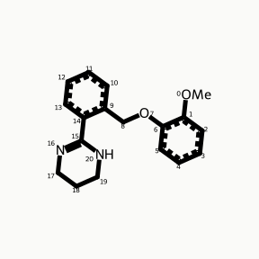 COc1ccccc1OCc1ccccc1C1=NCCCN1